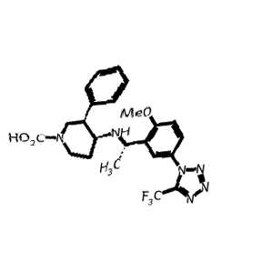 COc1ccc(-n2nnnc2C(F)(F)F)cc1[C@H](C)N[C@H]1CCN(C(=O)O)C[C@H]1c1ccccc1